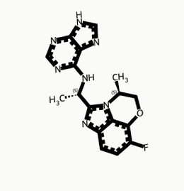 C[C@H](Nc1ncnc2[nH]cnc12)c1nc2ccc(F)c3c2n1[C@@H](C)CO3